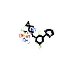 NS(=O)(=O)C(F)[C@@H]1[C@H](Cc2cc(F)cc(-c3ccccc3)c2F)NCC12CC2